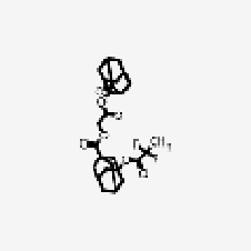 CC(F)(F)C(=O)OC12CC3CC(C1)CC(C(=O)OCC(=O)OC1C4CC5CC(C4)C(=O)C1C5)(C3)C2